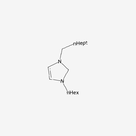 CCCCCCCCN1C=CN(CCCCCC)C1